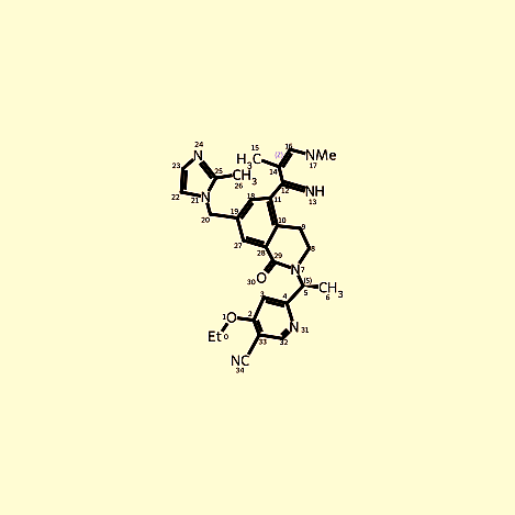 CCOc1cc([C@H](C)N2CCc3c(C(=N)/C(C)=C\NC)cc(Cn4ccnc4C)cc3C2=O)ncc1C#N